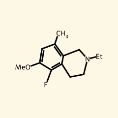 CCN1CCc2c(F)c(OC)cc(C)c2C1